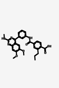 CCCc1cc(C(=O)Nc2cccc(-c3nc(NC)nc4cc(OC)c(OC)cc34)c2)ccc1C(=O)O